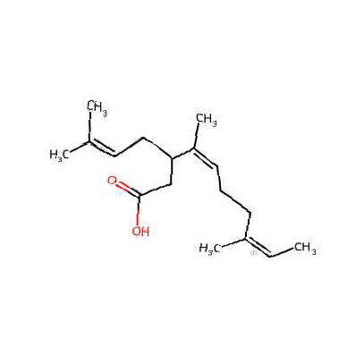 C/C=C(/C)CCC=C(C)C(CC=C(C)C)CC(=O)O